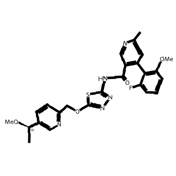 COc1cccc(F)c1-c1cc(C)ncc1C(=O)Nc1nnc(OCc2ccc([C@@H](C)OC)cn2)s1